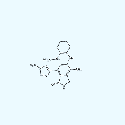 Cc1c(NC2CCCCC2NC(=O)O)nc(-c2cnn(C)c2)c2c1CNC2=O